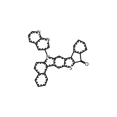 O=C1c2ccccc2-c2c1sc1cc3c4c5ccccc5ccc4n(-c4cnc5ncccc5c4)c3cc21